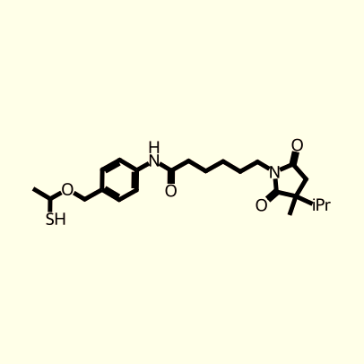 CC(S)OCc1ccc(NC(=O)CCCCCN2C(=O)CC(C)(C(C)C)C2=O)cc1